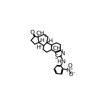 C[C@]12CCc3nc(Nc4ccccc4[N+](=O)[O-])sc3C1CC[C@@H]1[C@@H]2CC[C@]2(C)C(=O)CC[C@@H]12